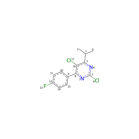 CC(C)c1nc(Cl)nc(-c2ccc(F)cc2)c1Cl